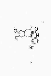 COc1cc2c(cc1OC)C[C@@H](C)N(C(=O)N(C)c1ccc(Br)cc1)N=C2